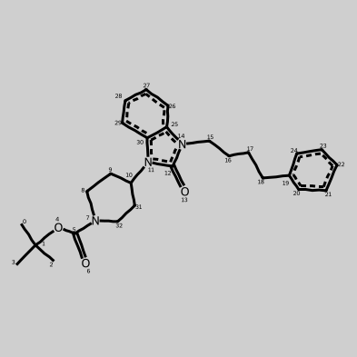 CC(C)(C)OC(=O)N1CCC(n2c(=O)n(CCCCc3ccccc3)c3ccccc32)CC1